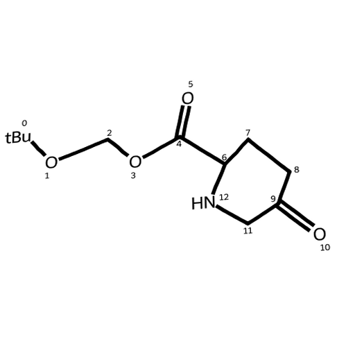 CC(C)(C)OCOC(=O)C1CCC(=O)CN1